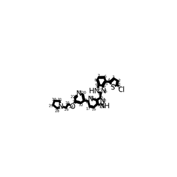 Clc1ccc(-c2cccc3[nH]c(-c4n[nH]c5ccc(-c6cncc(OCCN7CCCC7)c6)nc45)nc23)s1